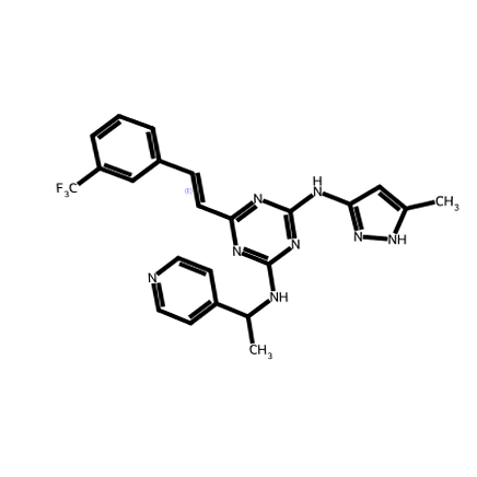 Cc1cc(Nc2nc(/C=C/c3cccc(C(F)(F)F)c3)nc(NC(C)c3ccncc3)n2)n[nH]1